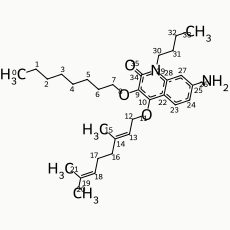 CCCCCCCCOc1c(OC/C=C(\C)CCC=C(C)C)c2ccc(N)cc2n(CCCC)c1=O